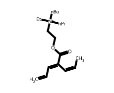 C=C/C=C(\C=C/C)C(=O)OCC[N+](CC)(CCC)CCCC